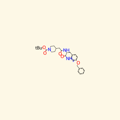 CC(C)(C)OC(=O)N1CCC(CC(=O)N[C@@H](Cc2ccc(OCc3ccccc3)cc2)C(N)=O)CC1